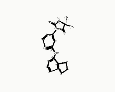 CC[C@@]1(C)NC(=O)N(c2ccnc(Oc3cccc4c3CCC4)c2)C1=O